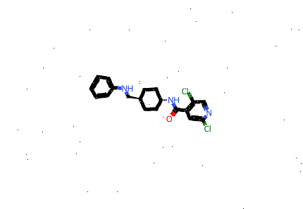 O=C(N[C@H]1CC[C@H](CNc2ccccc2)CC1)c1cc(Cl)ncc1Cl